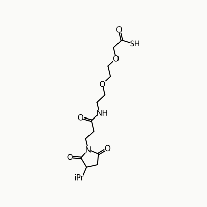 CC(C)C1CC(=O)N(CCC(=O)NCCOCCOCC(=O)S)C1=O